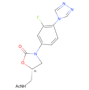 CC(=O)NC[C@H]1CN(c2ccc(-n3cnnc3)c(F)c2)C(=O)O1